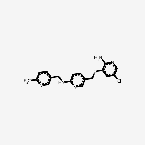 Nc1ncc(Cl)cc1OCc1ccc(NCc2ccc(C(F)(F)F)nc2)nc1